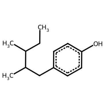 CCC(C)C(C)Cc1ccc(O)cc1